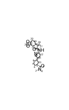 CN(C)C(=O)c1cccc(-c2ccc(NC(=O)C3(c4ccc5c(c4)OCO5)CC3)nc2)c1